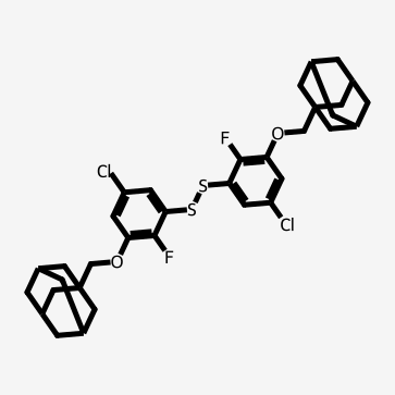 Fc1c(OCC23CC4CC(CC(C4)C2)C3)cc(Cl)cc1SSc1cc(Cl)cc(OCC23CC4CC(CC(C4)C2)C3)c1F